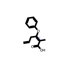 C=CC/C(Oc1ccccc1)=C(/C)C(=O)O